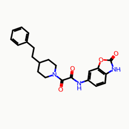 O=C(Nc1ccc2[nH]c(=O)oc2c1)C(=O)N1CCC(CCc2ccccc2)CC1